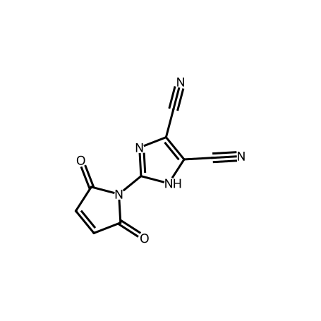 N#Cc1nc(N2C(=O)C=CC2=O)[nH]c1C#N